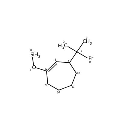 CC(C)C(C)(C)C1C=C(O[SiH3])CCCC1